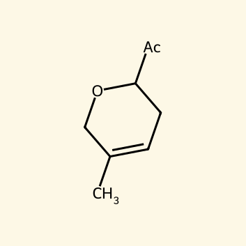 CC(=O)C1CC=C(C)CO1